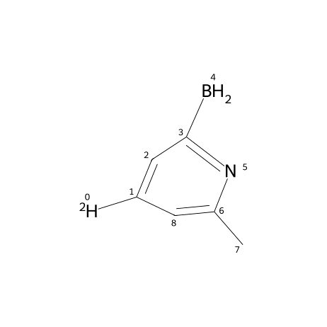 [2H]c1cc(B)nc(C)c1